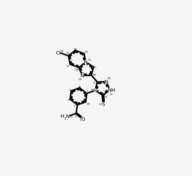 NC(=O)c1cccc(-n2c(-c3cn4ccc(Cl)cc4n3)n[nH]c2=S)c1